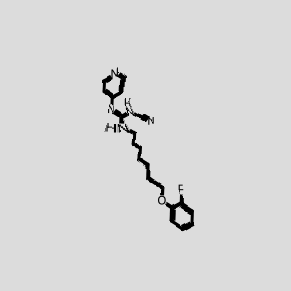 N#CN/C(=N\c1ccncc1)NCCCCCCCOc1ccccc1F